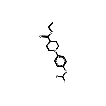 CCOC(=O)C1CCN(c2ccc(OC(F)F)cc2)CC1